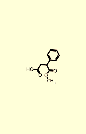 COC(=O)C(CC(=O)O)c1ccccc1